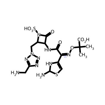 CC(C)(O/N=C(\C(=O)NC1C(=O)N(S(=O)(=O)O)C1Cn1nnc(CN)n1)C1=CSC(N)N1)C(=O)O